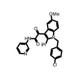 COc1ccc2c(c1)c(C(=O)C(=O)Nc1cccnc1)c(C(C)C)n2Cc1ccc(Cl)cc1